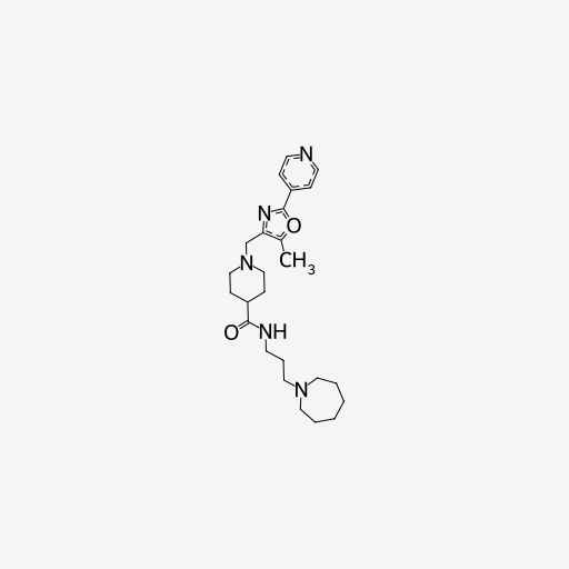 Cc1oc(-c2ccncc2)nc1CN1CCC(C(=O)NCCCN2CCCCCC2)CC1